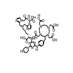 O=C(O)CN1CCN(CC(=O)O)CCN(CC(=O)O)C(Cc2ccc(Nc3nc(N[C@@H](CCCCN(Cc4nccn4CC(=O)O)Cc4nccn4CC(=O)O)C(=O)O)nc(N4CCNCC4)n3)cc2)CN(CC(=O)O)CC1